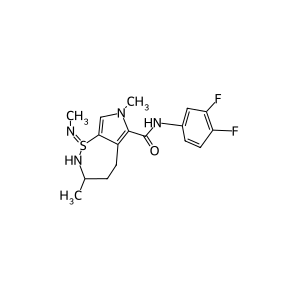 C/N=S1/NC(C)CCc2c1cn(C)c2C(=O)Nc1ccc(F)c(F)c1